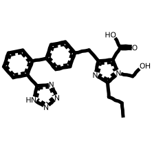 CCCc1nc(Cc2ccc(-c3ccccc3-c3nnn[nH]3)cc2)c(C(=O)O)n1CO